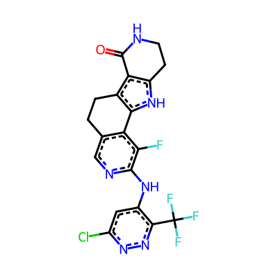 O=C1NCCc2[nH]c3c(c21)CCc1cnc(Nc2cc(Cl)nnc2C(F)(F)F)c(F)c1-3